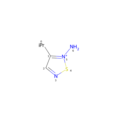 CC(C)c1cns[n+]1N